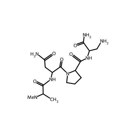 CNC(C)C(=O)NC(CC(N)=O)C(=O)N1CCCC1C(=O)NC(CN)C(N)=O